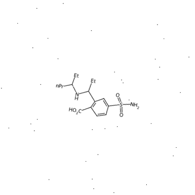 CCCC(CC)NC(CC)c1cc(S(N)(=O)=O)ccc1C(=O)O